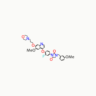 COc1cccc(CN2CC(=O)N(c3ccc(Oc4ccnc5cc(OCCCN6CCOCC6)c(OC)cc45)c(F)c3)C2=O)c1